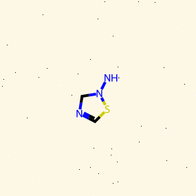 [NH]N1CN=CS1